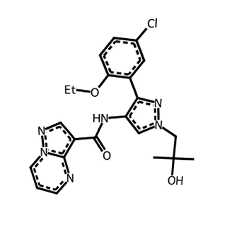 CCOc1ccc(Cl)cc1-c1nn(CC(C)(C)O)cc1NC(=O)c1cnn2cccnc12